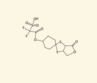 O=C1OCC2SC3(CCC(OC(=O)C(F)(F)S(=O)(=O)O)CC3)SC12